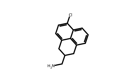 NCC1Cc2cccc3c(Cl)ccc(c23)C1